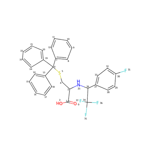 O=C(O)C(CSC(c1ccccc1)(c1ccccc1)c1ccccc1)NC(c1ccc(F)cc1)C(F)(F)F